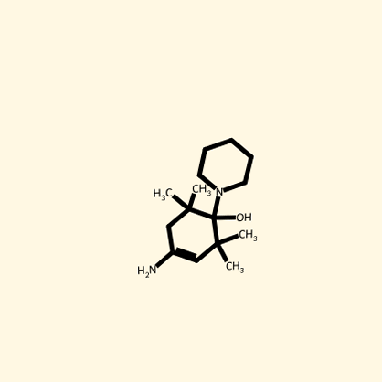 CC1(C)C=C(N)CC(C)(C)C1(O)N1CCCCC1